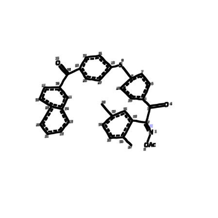 CC(=O)O/N=C(/C(=O)c1ccc(Sc2ccc(C(=O)c3ccc4ccccc4c3)cc2)cc1)c1cc(C)ccc1C